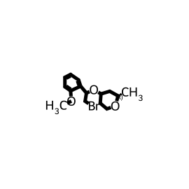 COc1ccccc1C(CBr)OC1CCO[C@H](C)C1